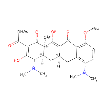 CCCCOc1ccc(N(C)C)c2c1C(=O)C1=C(O)[C@]3(OC(C)=O)C(=O)C(C(=O)NC(C)=O)=C(O)C(N(C)C)[C@@H]3C[C@@H]1C2